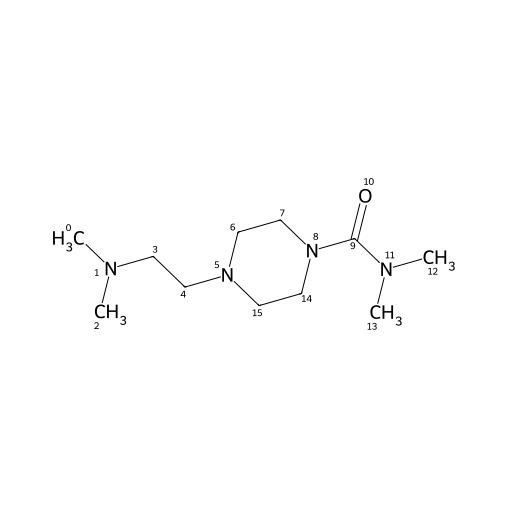 CN(C)CCN1CCN(C(=O)N(C)C)CC1